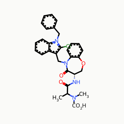 CC(C(=O)N[C@H]1COc2ccccc2N(Cc2c(Cl)n(Cc3ccccc3)c3ccccc23)C1=O)N(C)C(=O)O